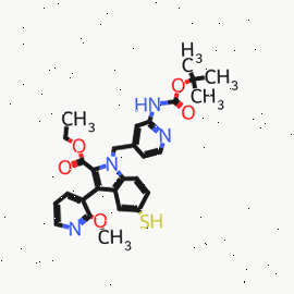 CCOC(=O)c1c(-c2cccnc2OC)c2cc(S)ccc2n1Cc1ccnc(NC(=O)OC(C)(C)C)c1